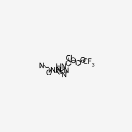 CN(C)CC=CC(=O)NCc1cc2ncnc(Nc3ccc(Oc4cccc(OC(F)(F)F)c4)c(Cl)c3)c2n1C